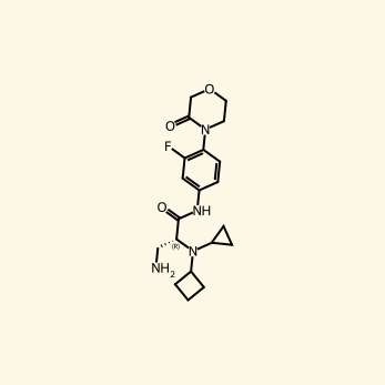 NC[C@H](C(=O)Nc1ccc(N2CCOCC2=O)c(F)c1)N(C1CCC1)C1CC1